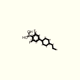 CCCC1CCC(c2cc(F)c(B(O)O)c(F)c2)CC1